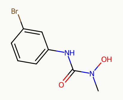 CN(O)C(=O)Nc1cccc(Br)c1